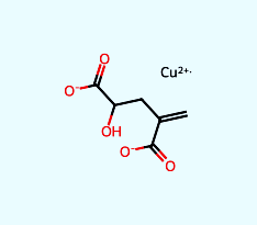 C=C(CC(O)C(=O)[O-])C(=O)[O-].[Cu+2]